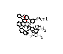 CCC[C@H](C)c1ccc(N2c3cc4sc5ccccc5c4c4c3B(c3sc5cc6c(cc5c32)C(C)(C)CCC6(C)C)n2c3c-4cccc3c3ccc4ccccc4c32)c(-c2ccccc2)c1